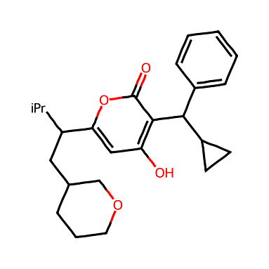 CC(C)C(CC1CCCOC1)c1cc(O)c(C(c2ccccc2)C2CC2)c(=O)o1